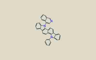 c1ccc(-n2c3ccccc3c3ccc4c(ccc5c6ccccc6n(-c6cncc7ccccc67)c54)c32)cc1